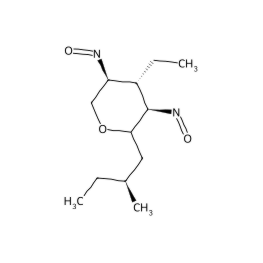 CC[C@H](C)CC1OC[C@@H](N=O)[C@H](CC)[C@H]1N=O